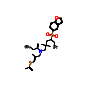 C=C(C)S/C=C(\C)CN(CC(C)(C)CC(CC(C)C)S(=O)(=O)c1ccc2occc2c1)C(=C)CC(C)(C)C